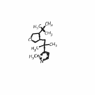 Cn1nccc1C(C)(C)CC1COCC1C(C)(C)C